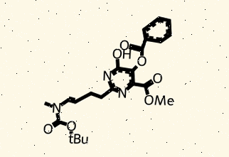 COC(=O)c1nc(CCC=CN(C)C(=O)OC(C)(C)C)nc(O)c1OC(=O)c1ccccc1